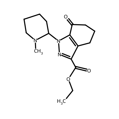 CCOC(=O)c1nn(C2CCCCN2C)c2c1CCCC2=O